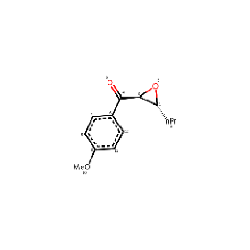 CCC[C@H]1O[C@@H]1C(=O)c1ccc(OC)cc1